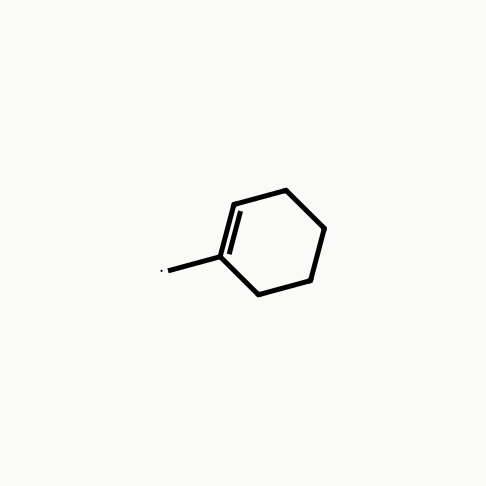 [CH2]C1=CCCCC1